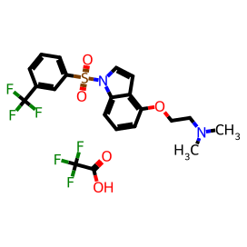 CN(C)CCOc1cccc2c1ccn2S(=O)(=O)c1cccc(C(F)(F)F)c1.O=C(O)C(F)(F)F